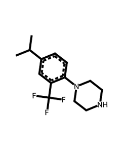 CC(C)c1ccc(N2CCNCC2)c(C(F)(F)F)c1